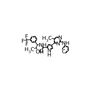 Cc1cnc(Nc2ccccc2)nc1-c1c[nH]c(C(=O)NC(c2cccc(C(F)(F)F)c2)C(C)O)c1